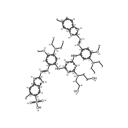 CCN(CC)c1cc(Nc2nc(Nc3cc(N(CC)CC)c(OC)cc3/N=N/c3nc4cc(S(=O)(=O)O)c(C)cc4s3)nc(N(CCO)CCO)n2)c(/N=N/c2nc3ccc(C)cc3s2)cc1OC